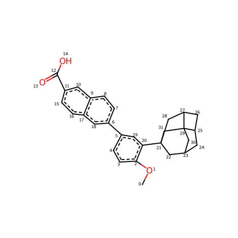 COc1ccc(-c2ccc3cc(C(=O)O)ccc3c2)cc1C12CC3CC4CC(C1)C4(C3)C2